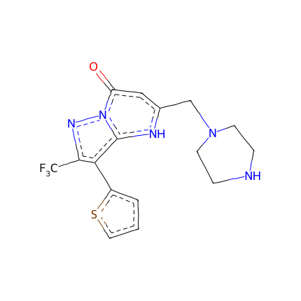 O=c1cc(CN2CCNCC2)[nH]c2c(-c3cccs3)c(C(F)(F)F)nn12